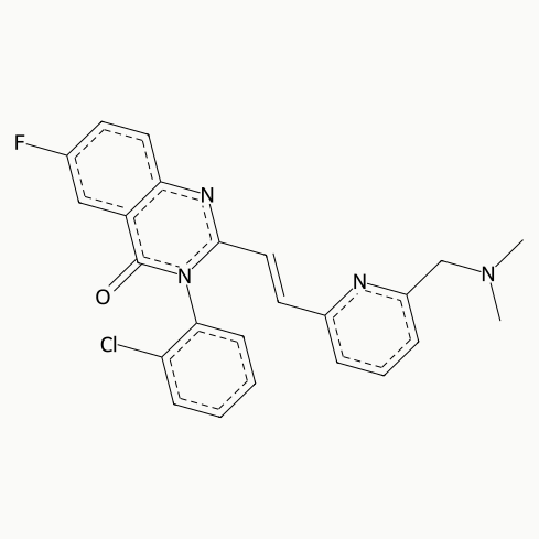 CN(C)Cc1cccc(C=Cc2nc3ccc(F)cc3c(=O)n2-c2ccccc2Cl)n1